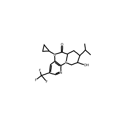 CC(C)C1CC2C(=O)N(C3CC3)c3cc(C(F)(F)F)cnc3N2CC1O